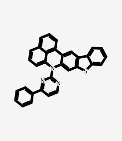 c1ccc(-c2ccnc(N3c4cc5sc6ccccc6c5cc4-c4cccc5cccc3c45)n2)cc1